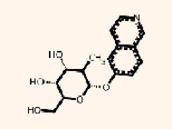 CC1[C@H](Oc2ccc3cnccc3c2)OC(CO)[C@H](O)[C@@H]1O